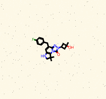 CC1(O)CC(n2nc3c(Cc4ccc(F)cc4)cc4c(n3c2=O)C(C)(C)CN4)C1